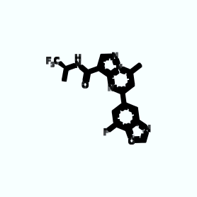 Cc1cc(-c2cc(F)c3ocnc3c2)nc2c(C(=O)N[C@@H](C)C(F)(F)F)cnn12